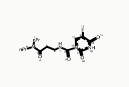 CCCN(CCC)C(=O)CCNC(=O)n1cc(F)c(=O)[nH]c1=O